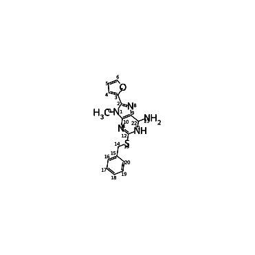 Cn1c(-c2ccco2)nc2c1N=C(SCc1ccccc1)NC2N